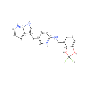 FC1(F)OC2=CC=CC(CNc3ccc(Cc4c[nH]c5ncccc45)cn3)C2O1